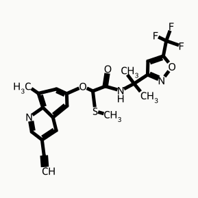 C#Cc1cnc2c(C)cc(OC(SC)C(=O)NC(C)(C)c3cc(C(F)(F)F)on3)cc2c1